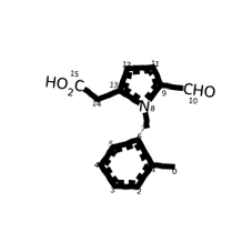 Cc1ccccc1.Cn1c(C=O)ccc1CC(=O)O